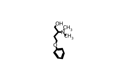 CN(C)C(CO)CCOc1ccccc1